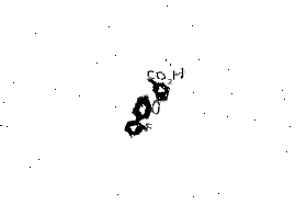 O=C(O)Cc1cccc(Oc2cccc(-c3ccccc3F)c2)c1